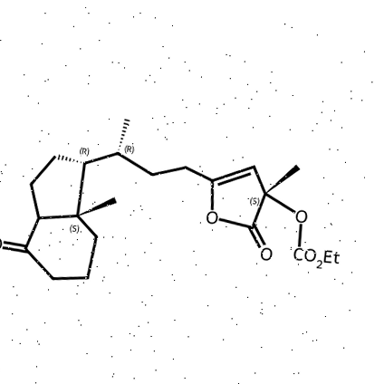 CCOC(=O)O[C@@]1(C)C=C(CC[C@@H](C)[C@H]2CCC3C(=O)CCC[C@]32C)OC1=O